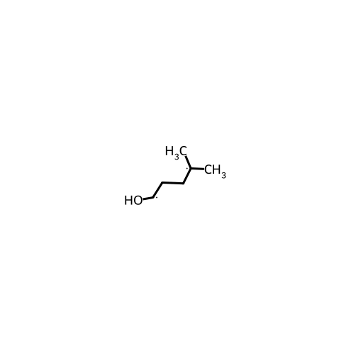 C[C](C)CC[CH]O